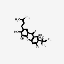 C=CC(C)(C)c1c(O)cc2oc3c(O)c(O)c(CC=C(C)C)cc3c(=O)c2c1O